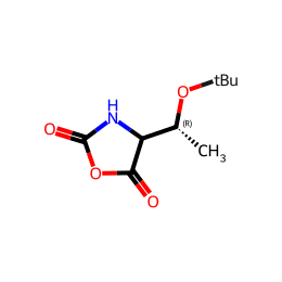 C[C@@H](OC(C)(C)C)C1NC(=O)OC1=O